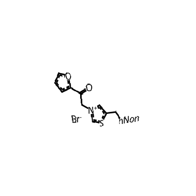 CCCCCCCCCCc1c[n+](CC(=O)c2ccco2)cs1.[Br-]